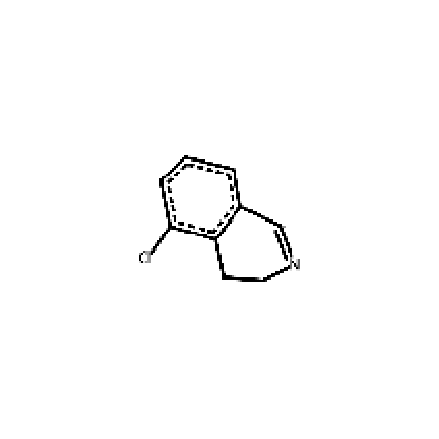 Clc1cccc2c1CCN=[C]2